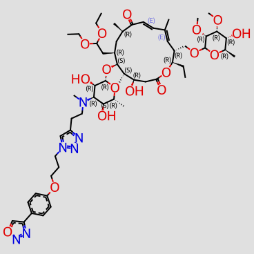 CCOC(C[C@H]1C[C@@H](C)C(=O)/C=C/C(C)=C/[C@H](COC2O[C@H](C)[C@@H](O)[C@@H](OC)[C@H]2OC)[C@@H](CC)OC(=O)C[C@@H](O)[C@H](C)[C@H]1O[C@@H]1O[C@H](C)[C@@H](O)[C@@H](N(C)CCc2cn(CCCOc3ccc(-c4conn4)cc3)nn2)[C@H]1O)OCC